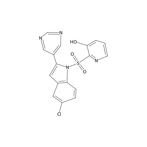 O=S(=O)(c1ncccc1O)n1c(-c2cncnc2)cc2cc(Cl)ccc21